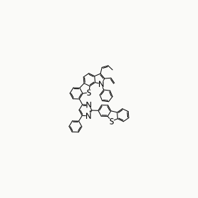 C=Cc1c(/C=C\C)c2ccc3c4cccc(-c5cc(-c6ccccc6)nc(-c6ccc7c(c6)sc6ccccc67)n5)c4sc3c2n1-c1ccccc1